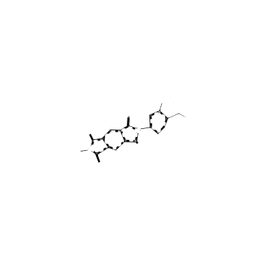 CCc1ccc(-n2c(=O)c3cc4c(=O)n(C)c(=O)c4cc3c2=O)cc1C